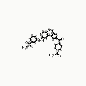 CC(=O)N1CCN(C(=O)c2cc3c(s2)CSc2cnc(Nc4cccc(S(N)(=O)=O)c4)nc2-3)CC1